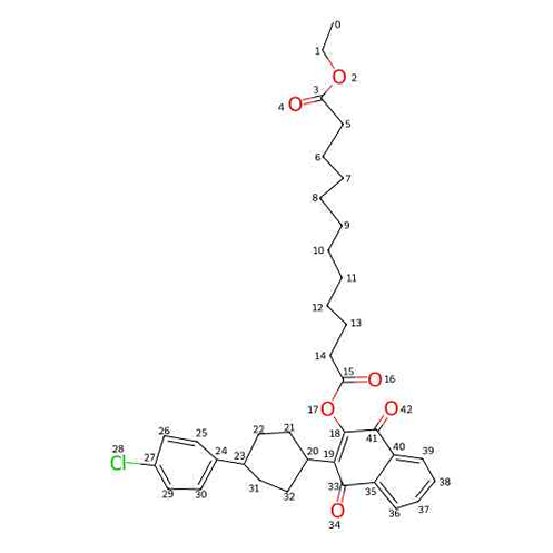 CCOC(=O)CCCCCCCCCCC(=O)OC1=C(C2CCC(c3ccc(Cl)cc3)CC2)C(=O)c2ccccc2C1=O